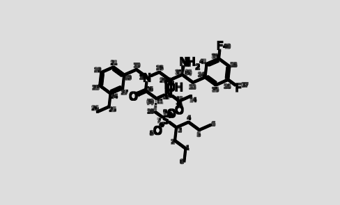 CCCC(CCC)S(=O)(=O)C[C@@H](NC(C)=O)C(=O)N(Cc1cccc(CC)c1)C[C@@H](O)[C@@H](N)Cc1cc(F)cc(F)c1